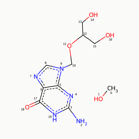 CO.Nc1nc2c(ncn2COC(CO)CO)c(=O)[nH]1